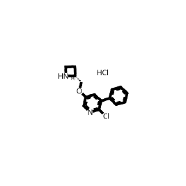 Cl.Clc1ncc(OC[C@H]2CCN2)cc1-c1ccccc1